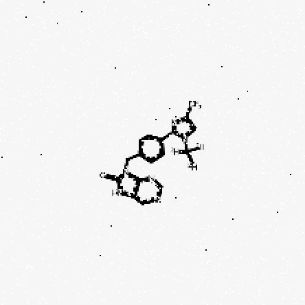 [2H]C([2H])([2H])n1cc(C(F)(F)F)nc1-c1ccc(Cn2c(=O)[nH]c3cncnc32)cc1